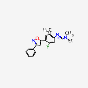 CCN(C)/C=N/c1cc(F)c(C2CC(c3ccccc3)=NO2)cc1C